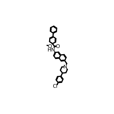 COC1(C(=O)Nc2ccc3cc(CN4CCC(c5ccc(Cl)cc5)CC4)ccc3c2)C=CC(c2ccccc2)=CC1